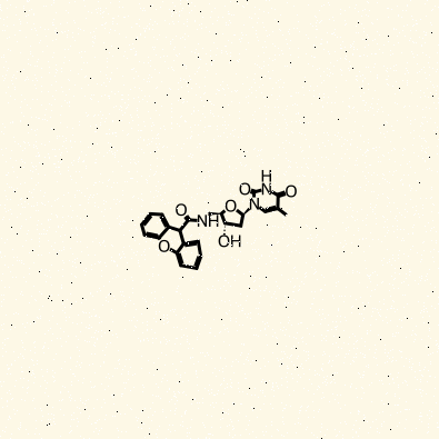 Cc1cn([C@H]2C[C@H](O)[C@@H](CNC(=O)C3c4ccccc4Oc4ccccc43)O2)c(=O)[nH]c1=O